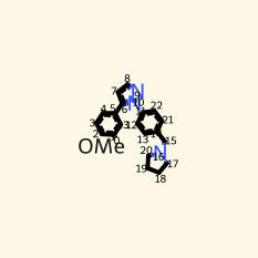 COc1cccc(-c2ccnn2-c2ccc(CN3CCCC3)cc2)c1